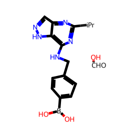 CC(C)c1nc(NCc2ccc(B(O)O)cc2)c2[nH]ncc2n1.O=CO